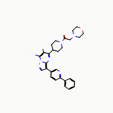 CC(=O)c1c(C2CCN(C(=O)CN3CCOCC3)CC2)nc2c(-c3ccc(-c4ccccc4)nc3)cnn2c1N